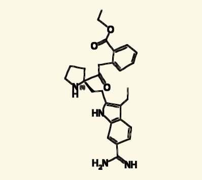 CCOC(=O)c1ccccc1CC(=O)[C@@]1(CCc2[nH]c3cc(C(=N)N)ccc3c2CC)CCCN1